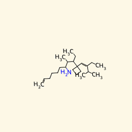 C=CCCCCC(N)C(C)C(CC)C1(/C=C(/CC)C(C)C)CCC1